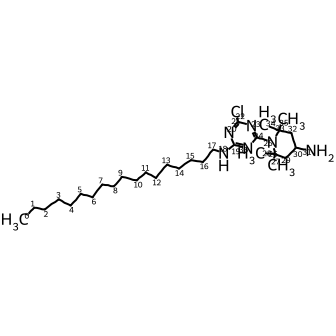 CCCCCCCCCCCCCCCCCCNc1nc(Cl)nc(N2C(C)(C)CC(N)CC2(C)C)n1